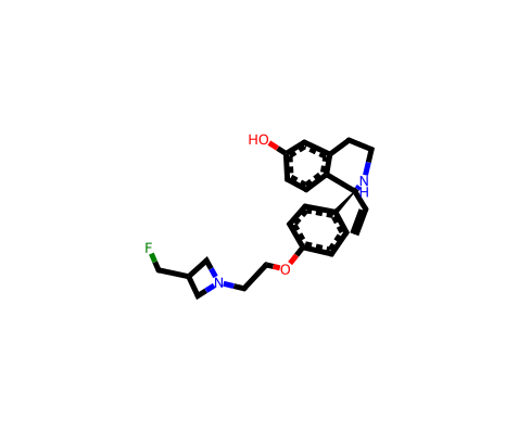 C=C[C@@]1(c2ccc(OCCN3CC(CF)C3)cc2)NCCc2cc(O)ccc21